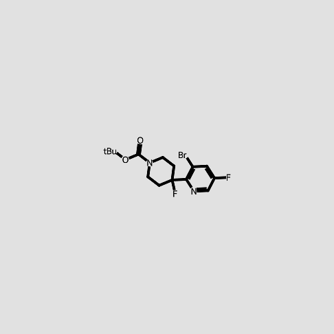 CC(C)(C)OC(=O)N1CCC(F)(c2ncc(F)cc2Br)CC1